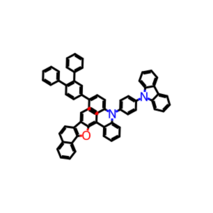 c1ccc(-c2ccc(-c3ccc(N(c4ccc(-n5c6ccccc6c6ccccc65)cc4)c4ccccc4-c4cccc5c4oc4c6ccccc6ccc54)cc3)cc2-c2ccccc2)cc1